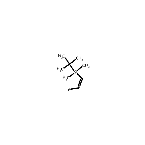 CC(C)(C)[Si](C)(C)/C=P\F